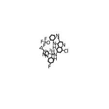 [2H][C@](Nc1cc(Cl)c2ncc(C#N)c(Nc3ccccc3OC(F)(F)F)c2c1)(c1ccc(F)cc1)c1cn(C2CC2)nn1